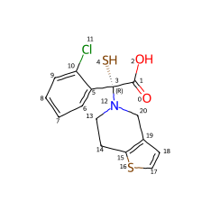 O=C(O)[C@](S)(c1ccccc1Cl)N1CCc2sccc2C1